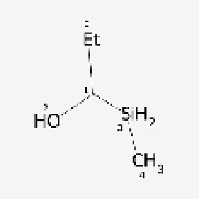 CCC(O)[SiH2]C